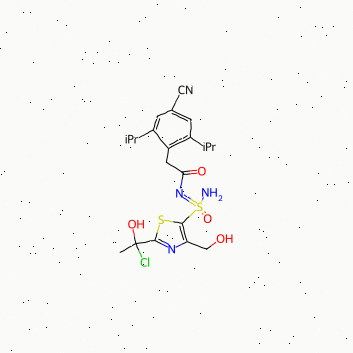 CC(C)c1cc(C#N)cc(C(C)C)c1CC(=O)N=S(N)(=O)c1sc(C(C)(O)Cl)nc1CO